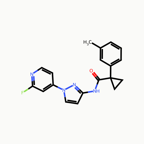 Cc1cccc(C2(C(=O)Nc3ccn(-c4ccnc(F)c4)n3)CC2)c1